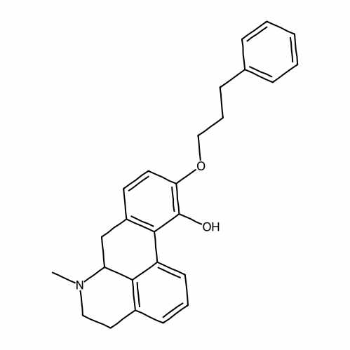 CN1CCc2cccc3c2C1Cc1ccc(OCCCc2ccccc2)c(O)c1-3